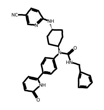 N#Cc1ccc(N[C@H]2CC[C@H](N(C(=O)NCc3ccccc3)c3ccc(-c4cccc(=O)[nH]4)cc3)CC2)nc1